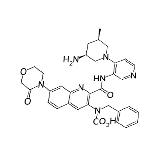 C[C@@H]1C[C@H](N)CN(c2ccncc2NC(=O)c2nc3cc(N4CCOCC4=O)ccc3cc2N(Cc2ccccc2)C(=O)O)C1